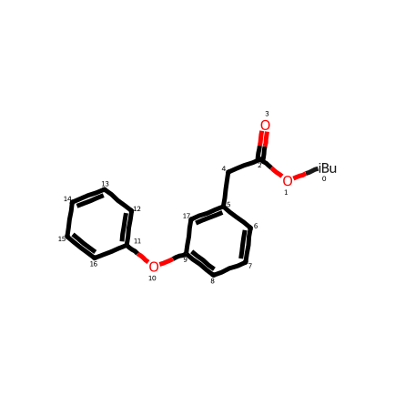 CCC(C)OC(=O)Cc1cccc(Oc2ccccc2)c1